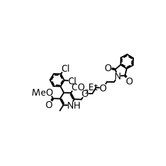 CCOC(=O)C1=C(COCCOCCN2C(=O)c3ccccc3C2=O)NC(C)=C(C(=O)OC)C1c1cccc(Cl)c1Cl